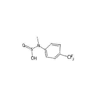 CN(c1ccc(C(F)(F)F)cc1)S(=O)O